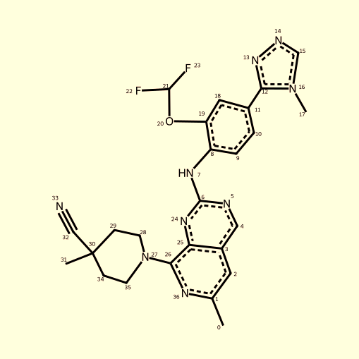 Cc1cc2cnc(Nc3ccc(-c4nncn4C)cc3OC(F)F)nc2c(N2CCC(C)(C#N)CC2)n1